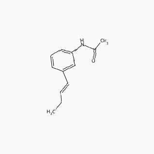 CC/C=C/c1cccc(NC(C)=O)c1